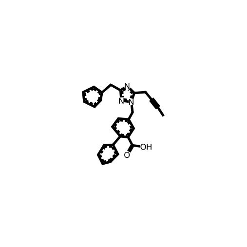 CC#CCc1nc(Cc2ccccc2)nn1Cc1ccc(-c2ccccc2)c(C(=O)O)c1